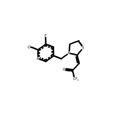 O=C(/C=C1/SCCN1Cc1cnc(Cl)c(F)c1)C(F)(F)F